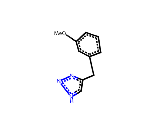 COc1cccc(Cc2c[nH]nn2)c1